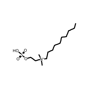 CCCCCCCCCC[N+](C)(C)CCOS(=O)(=O)O